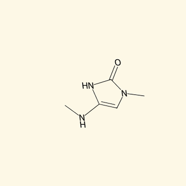 CNc1cn(C)c(=O)[nH]1